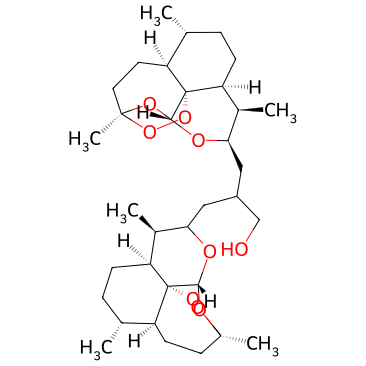 C[C@H]1[C@@H](CC(CO)CC2O[C@@H]3O[C@]4(C)CC[C@H]5[C@H](C)CC[C@@H]([C@H]2C)[C@@]35OO4)O[C@@H]2O[C@]3(C)CC[C@H]4[C@H](C)CC[C@@H]1[C@@]24OO3